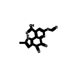 Cc1cc2c([nH]1)-c1c(C(=O)O)cc(OC=O)nc1C(=O)C2=O